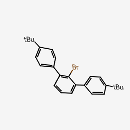 CC(C)(C)c1ccc(-c2cccc(-c3ccc(C(C)(C)C)cc3)c2Br)cc1